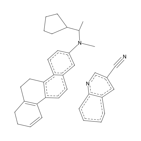 CC(C1CCCC1)N(C)c1ccc2c3c(ccc2c1)C1=C(CCC=C1)CC3.N#Cc1cnc2ccccc2c1